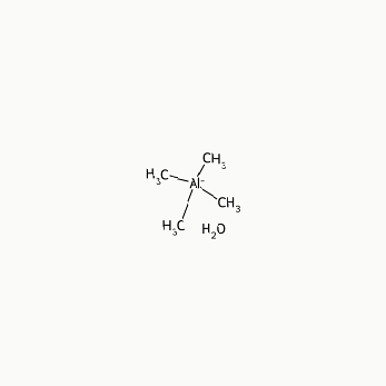 O.[CH3][Al-]([CH3])([CH3])[CH3]